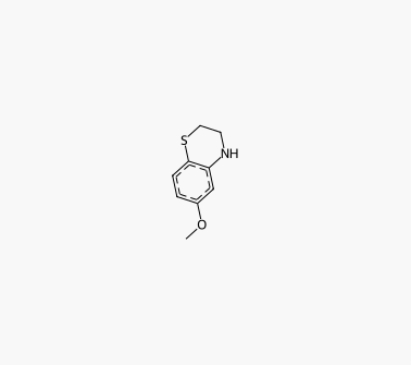 COc1ccc2c(c1)NCCS2